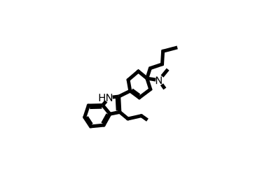 CCCCC1(N(C)C)CC=C(c2[nH]c3ccccc3c2CCC)CC1